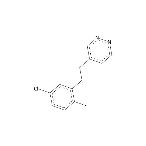 Cc1ccc(Cl)cc1CCc1ccnnc1